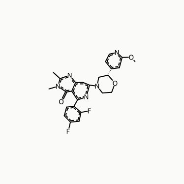 COc1cc([C@H]2CN(c3cc4nc(C)n(C)c(=O)c4c(-c4ccc(F)cc4F)n3)CCO2)ccn1